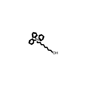 OCCCCCCCCC[PH](c1ccccc1)(c1ccccc1)c1ccccc1